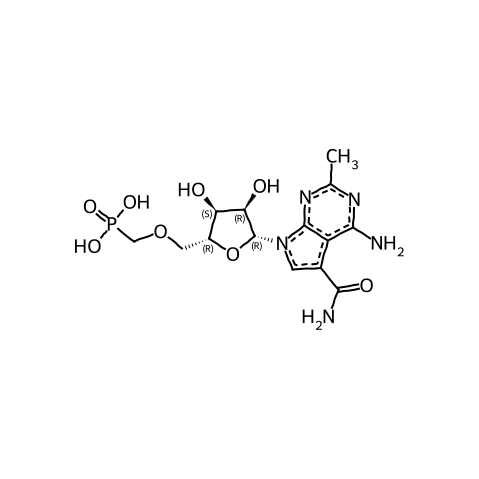 Cc1nc(N)c2c(C(N)=O)cn([C@@H]3O[C@H](COCP(=O)(O)O)[C@@H](O)[C@H]3O)c2n1